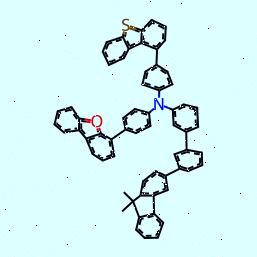 CC1(C)c2ccccc2-c2cc(-c3cccc(-c4cccc(N(c5ccc(-c6cccc7c6oc6ccccc67)cc5)c5ccc(-c6cccc7sc8ccccc8c67)cc5)c4)c3)ccc21